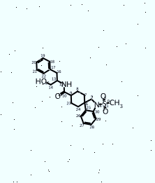 CS(=O)(=O)N1CC2(CCC(C(=O)NC(CO)Cc3ccccc3)CC2)c2ccccc21